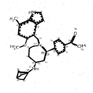 COc1cc(C)c2[nH]ccc2c1CN1CC[C@H](NC23CC(C2)C3)C[C@@H]1c1ccc(C(=O)O)cc1